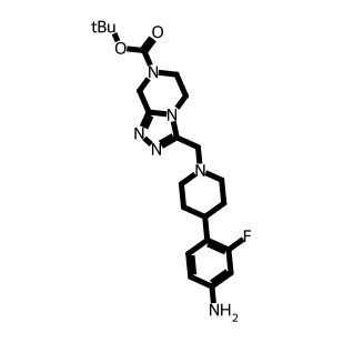 CC(C)(C)OC(=O)N1CCn2c(CN3CCC(c4ccc(N)cc4F)CC3)nnc2C1